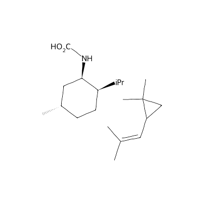 CC(C)=CC1CC1(C)C.CC(C)[C@H]1CC[C@H](C)C[C@H]1NC(=O)O